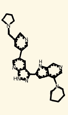 c1ncc(-c2cnc3[nH]nc(-c4cc5c(N6CCCCC6)cncc5[nH]4)c3c2)cc1CN1CCCC1